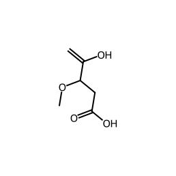 C=C(O)C(CC(=O)O)OC